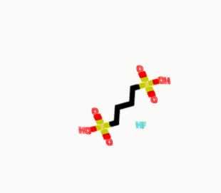 F.O=S(=O)(O)CCCCS(=O)(=O)O